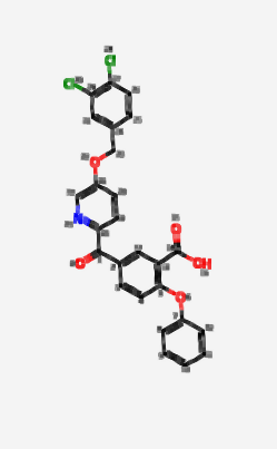 O=C(c1ccc(Oc2ccccc2)c(C(=O)O)c1)c1ccc(OCc2ccc(Cl)c(Cl)c2)cn1